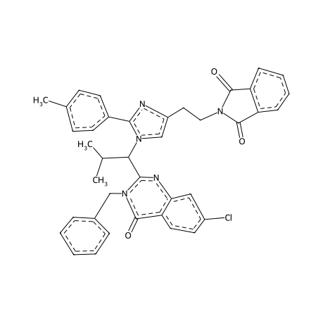 Cc1ccc(-c2nc(CCN3C(=O)c4ccccc4C3=O)cn2C(c2nc3cc(Cl)ccc3c(=O)n2Cc2ccccc2)C(C)C)cc1